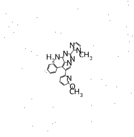 COc1cccc(-c2cn3nc(-c4nccn4C)nc(N)c3c2-c2ccccc2)n1